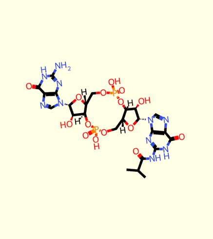 CC(C)C(=O)Nc1nc2c(ncn2[C@@H]2O[C@@H]3COP(=O)(O)O[C@H]4[C@@H](O)[C@H](n5cnc6c(=O)[nH]c(N)nc65)O[C@@H]4COP(=O)(O)O[C@H]3[C@H]2O)c(=O)[nH]1